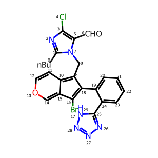 CCCCc1nc(Cl)c(C=O)n1Cc1c2ccocc-2c(Br)c1-c1ccccc1-c1nnn[nH]1